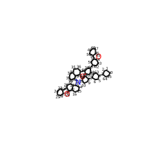 c1ccc(-c2ccc(-c3ccc(N(c4cccc5c4ccc4c6ccccc6oc54)c4cccc5ccc6c7cc(-c8ccc9oc%10ccccc%10c9c8)ccc7oc6c45)cc3)cc2)cc1